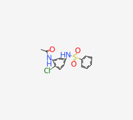 CC(=O)Nc1cc(NS(=O)(=O)c2ccccc2)ccc1Cl